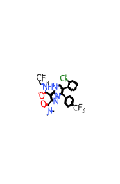 CN(C)C(=O)c1nn2c(-c3ccc(C(F)(F)F)cc3)c(-c3ccccc3Cl)cnc2c1C(=O)NCC(F)(F)F